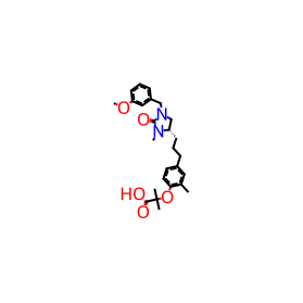 COc1cccc(CN2C[C@H](CCCc3ccc(OC(C)(C)C(=O)O)c(C)c3)N(C)C2=O)c1